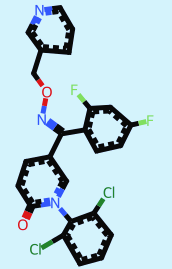 O=c1ccc(/C(=N/OCc2cccnc2)c2ccc(F)cc2F)cn1-c1c(Cl)cccc1Cl